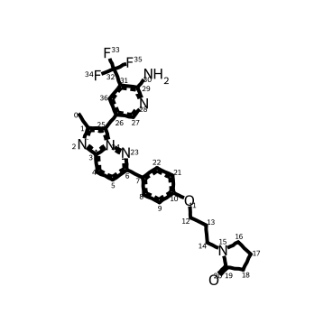 Cc1nc2ccc(-c3ccc(OCCCN4CCCC4=O)cc3)nn2c1-c1cnc(N)c(C(F)(F)F)c1